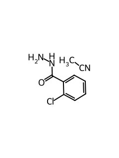 CC#N.NNC(=O)c1ccccc1Cl